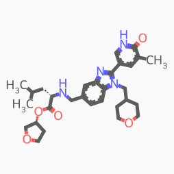 Cc1cc(-c2nc3cc(CN[C@@H](CC(C)C)C(=O)O[C@H]4CCOC4)ccc3n2CC2CCOCC2)c[nH]c1=O